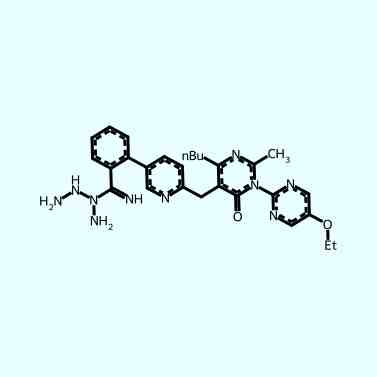 CCCCc1nc(C)n(-c2ncc(OCC)cn2)c(=O)c1Cc1ccc(-c2ccccc2C(=N)N(N)NN)cn1